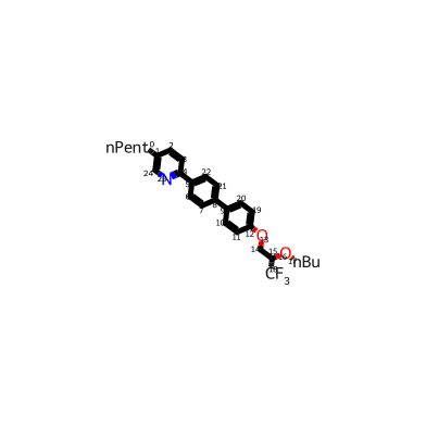 CCCCCc1ccc(-c2ccc(-c3ccc(OCC(OCCCC)C(F)(F)F)cc3)cc2)nc1